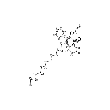 C=CCOc1c(-c2ccccc2)n(CCCCCCCCCCCCCC)c2ccccc2c1=O